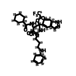 O=CNC(OC(=O)C(F)(F)F)(c1ccc2[nH]ncc2c1)C(NC(=O)C1CCCCC1)C(=O)OCCCNc1ccccn1